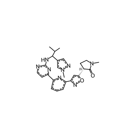 CC(C)C(Nc1nccc(-c2cccc(-c3cc([C@@H]4CCN(C)C4=O)on3)n2)n1)c1cnn(C)c1